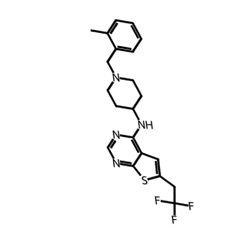 Cc1ccccc1CN1CCC(Nc2ncnc3sc(CC(F)(F)F)cc23)CC1